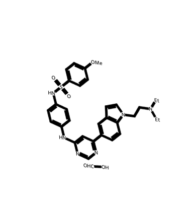 CCN(CC)CCn1ccc2cc(-c3cc(Nc4ccc(NS(=O)(=O)c5ccc(OC)cc5)cc4)ncn3)ccc21.O=CO